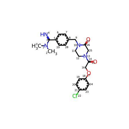 CN(C)C(=N)c1ccc(CN2CCN(C(=O)COc3ccc(Cl)cc3)CC2=O)cc1